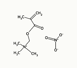 C=C(C)C(=O)OC[N+](C)(C)C.O=[N+]([O-])[O-]